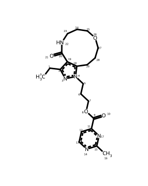 CCc1nn(CCCOC(=O)c2ccnc(C)n2)c2c1C(=O)NCCCOCCC2